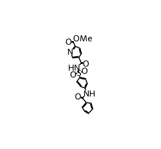 COC(=O)c1ccc(C(=O)NS(=O)(=O)c2ccc(NC(=O)c3ccccc3)cc2)cn1